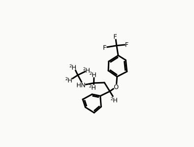 [2H]C([2H])([2H])NC([2H])([2H])CC([2H])(Oc1ccc(C(F)(F)F)cc1)c1ccccc1